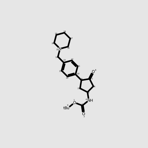 CC(C)(C)OC(=O)NC1CC(=O)C(c2ccc(CN3CCCCC3)cc2)C1